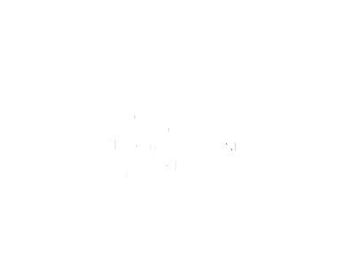 C1CCNCC1.[Cl][Cm]([Cl])([Cl])([Cl])[Cl]